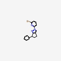 Brc1cccc(-n2cc3c(n2)C(c2ccccc2)CC3)n1